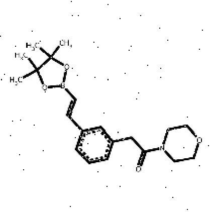 CC1(C)OB(C=Cc2cccc(CC(=O)N3CCOCC3)c2)OC1(C)C